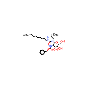 CCCCCCCCCCCCCCCCCCNC(=O)N(CCCCCCCCCCCC)[C@@H]1O[C@H](CO)[C@H](O)[C@H](O)[C@@H]1NC(=O)OCc1ccccc1